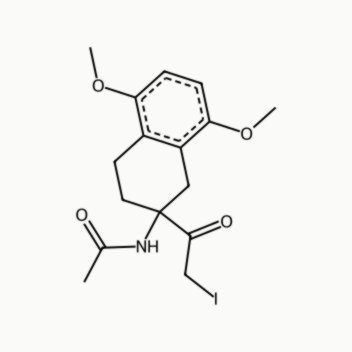 COc1ccc(OC)c2c1CCC(NC(C)=O)(C(=O)CI)C2